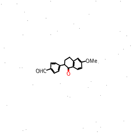 COc1ccc2c(c1)CCC(c1ccc(C=O)cc1)C2=O